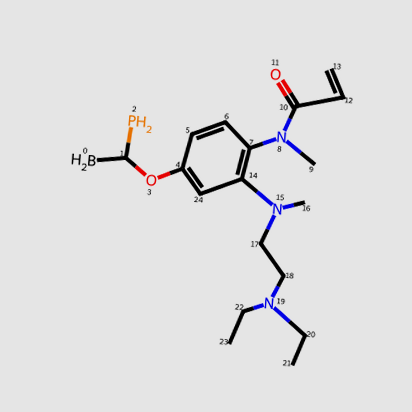 BC(P)Oc1ccc(N(C)C(=O)C=C)c(N(C)CCN(CC)CC)c1